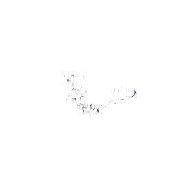 CCCCCCCC/C=C\CCCCCCCC(=O)NC(C)C(=O)NC(C)C(=O)N1CCCC1C(=O)NC(C)C=O